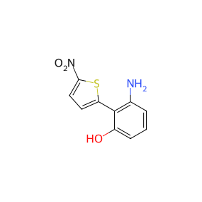 Nc1cccc(O)c1-c1ccc([N+](=O)[O-])s1